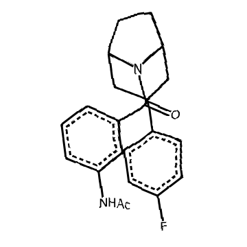 CC(=O)Nc1cccc(C(=O)N2C3CCC2CC(c2ccc(F)cc2)C3)c1